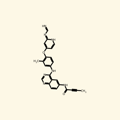 CC#CC(=O)Nc1ccc2ncnc(Nc3ccc(Oc4cc[nH]/c(=N\C=N)c4)c(C)c3)c2c1